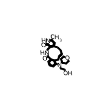 Cc1cc2c(c(=O)[nH]1)CNC(=O)c1cccc(N(CCO)C3CCOCC3)c1C/C=C/CC2